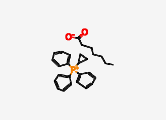 CCCCCCC(=O)[O-].c1ccc([P+](c2ccccc2)(c2ccccc2)C2CC2)cc1